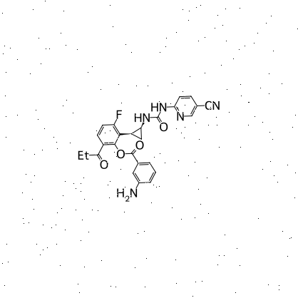 CCC(=O)c1ccc(F)c([C@@H]2C[C@@H]2NC(=O)Nc2ccc(C#N)cn2)c1OC(=O)c1cccc(N)c1